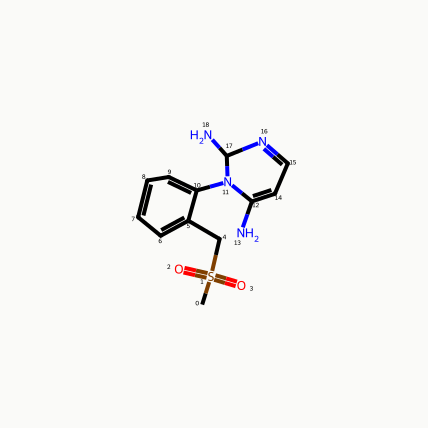 CS(=O)(=O)Cc1ccccc1N1C(N)=CC=NC1N